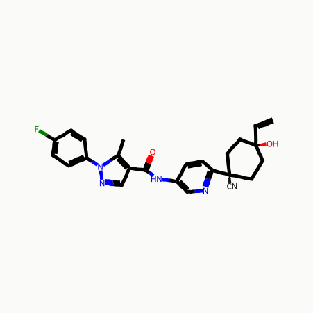 C=C[C@]1(O)CC[C@](C#N)(c2ccc(NC(=O)c3cnn(-c4ccc(F)cc4)c3C)cn2)CC1